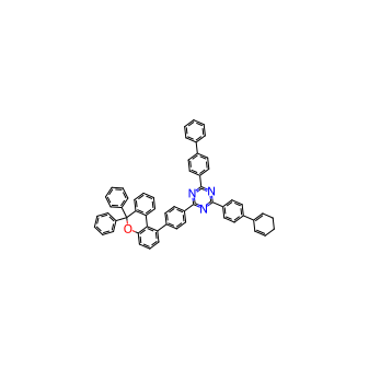 C1=CC(c2ccc(-c3nc(-c4ccc(-c5ccccc5)cc4)nc(-c4ccc(-c5cccc6c5-c5ccccc5C(c5ccccc5)(c5ccccc5)O6)cc4)n3)cc2)=CCC1